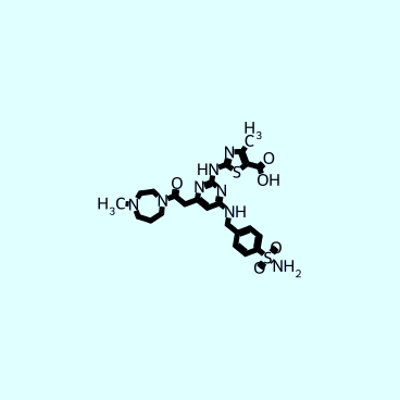 Cc1nc(Nc2nc(CC(=O)N3CCCN(C)CC3)cc(NCc3ccc(S(N)(=O)=O)cc3)n2)sc1C(=O)O